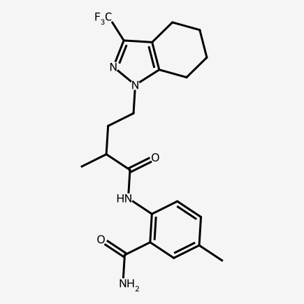 Cc1ccc(NC(=O)C(C)CCn2nc(C(F)(F)F)c3c2CCCC3)c(C(N)=O)c1